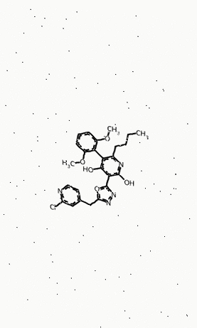 CCCCc1nc(O)c(-c2nnc(Cc3ccnc(Cl)c3)o2)c(O)c1-c1c(OC)cccc1OC